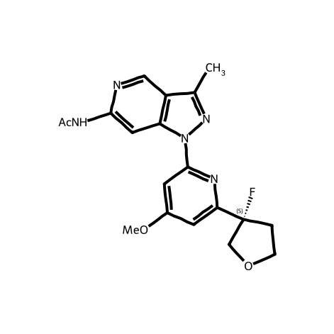 COc1cc(-n2nc(C)c3cnc(NC(C)=O)cc32)nc([C@@]2(F)CCOC2)c1